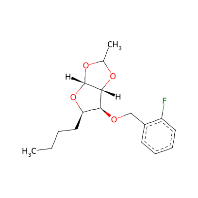 CCCC[C@H]1O[C@@H]2OC(C)O[C@@H]2[C@H]1OCc1ccccc1F